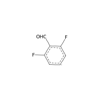 O=Cc1c(F)c[c]cc1F